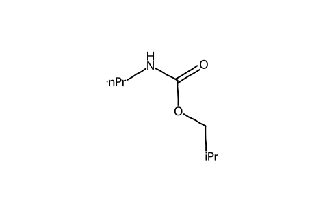 CC[CH]NC(=O)OCC(C)C